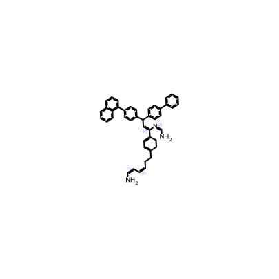 N/C=C\C=C/CCC1=CC=C(C(=C/C(c2ccc(-c3ccccc3)cc2)c2ccc(-c3cccc4ccccc34)cc2)/N=C\N)CC1